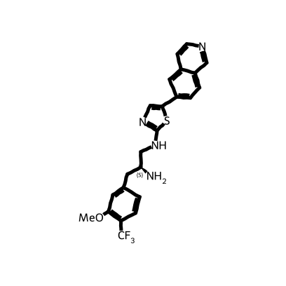 COc1cc(C[C@H](N)CNc2ncc(-c3ccc4cnccc4c3)s2)ccc1C(F)(F)F